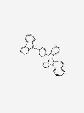 c1ccc2c(c1)ccc1c2c2ccccc2c2c1c1ccccc1n2-c1ccc(-n2c3ccccc3c3ccccc32)cc1